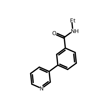 CCNC(=O)c1cccc(-c2cccnc2)c1